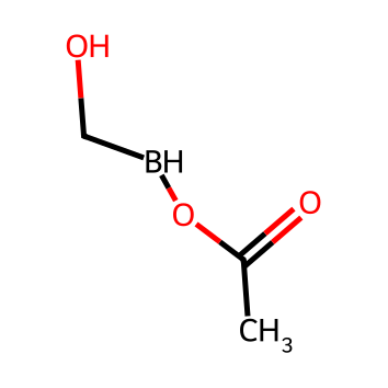 CC(=O)OBCO